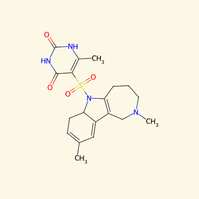 CC1=CCC2C(=C1)C1=C(CCCN(C)C1)N2S(=O)(=O)c1c(C)[nH]c(=O)[nH]c1=O